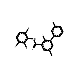 Cc1cc(C(=O)Nc2c(F)ccc(O)c2F)c(F)c(-c2cccc(F)c2)c1